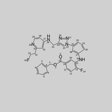 O=C(OCc1ccccc1)c1ccc(F)c(Nc2cccc(-n3cc(CNc4ccnc(CCF)c4)nn3)c2)c1